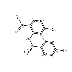 C[C@@H](Nc1nc(Cl)ncc1[N+](=O)[O-])c1ncc(F)cn1